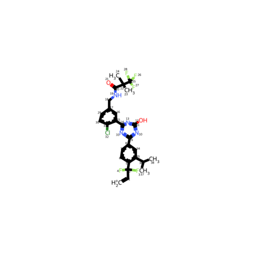 C=CC(F)(F)c1ccc(-c2nc(O)nc(-c3cc(CNC(=O)C(C)(C)C(F)(F)F)ccc3Cl)n2)cc1C(C)C